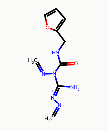 C=N/N=C(\N)N(N=C)C(=O)NCc1ccco1